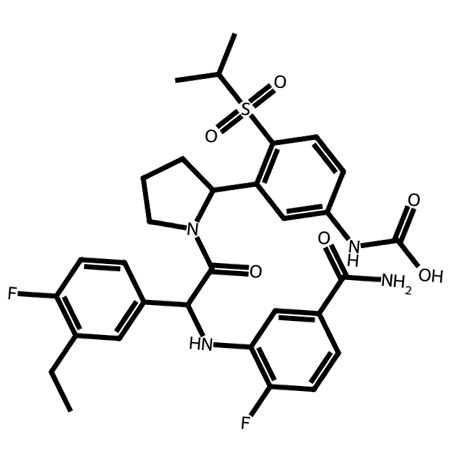 CCc1cc(C(Nc2cc(C(N)=O)ccc2F)C(=O)N2CCCC2c2cc(NC(=O)O)ccc2S(=O)(=O)C(C)C)ccc1F